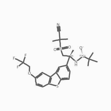 CC(C)(C)[S@@+]([O-])N[C@@](C)(CS(=O)(=O)C(C)(C)C#N)c1ccc2sc3ccc(OCC(F)(F)F)cc3c2c1